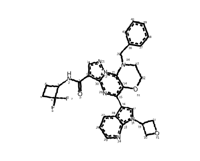 O=C(NC1CCC1(F)F)c1cnn2c3c(c(-c4cn(C5COC5)c5ncccc45)nc12)OCCN3Cc1ccccc1